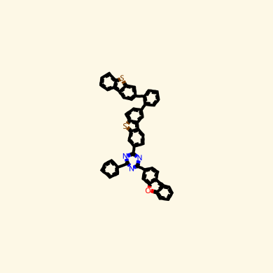 c1ccc(-c2nc(-c3ccc4c(c3)oc3ccccc34)nc(-c3ccc4c(c3)sc3ccc(-c5ccccc5-c5ccc6c(c5)sc5ccccc56)cc34)n2)cc1